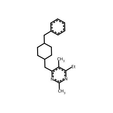 CCc1nc(C)nc(CC2CCC(Cc3ccccc3)CC2)c1C